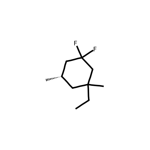 CCC1(C)C[C@H](C)CC(F)(F)C1